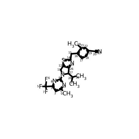 Cc1cc(C(F)(F)F)nc(N2Cc3sc(Cc4ccc(C#N)cc4C)nc3C2C(C)C)n1